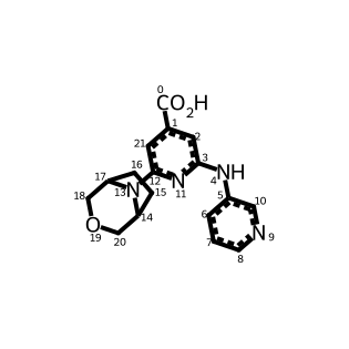 O=C(O)c1cc(Nc2cccnc2)nc(N2C3CCC2COC3)c1